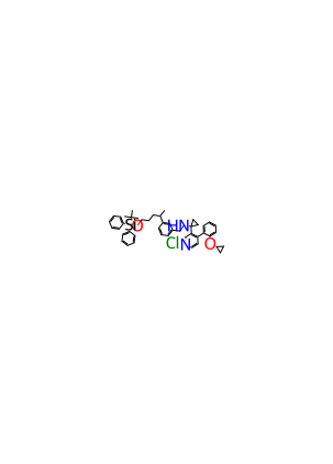 CC(CCCO[Si](c1ccccc1)(c1ccccc1)C(C)(C)C)c1ccc(Cl)c(CNC2(c3cnccc3-c3ccccc3OC3CC3)CC2)c1